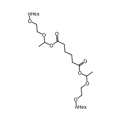 CCCCCCOCCOC(C)OC(=O)CCCCC(=O)OC(C)OCCOCCCCCC